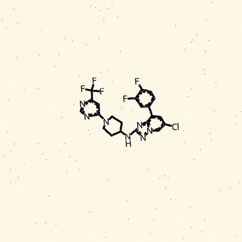 Fc1ccc(-c2cc(Cl)cn3nc(NC4CCN(c5cc(C(F)(F)F)ncn5)CC4)nc23)cc1F